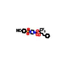 N#Cc1ccc(S(=O)(=O)N2CCN(C(=O)OC(C(=O)CCc3ccccc3)C(F)(F)F)CC2)cc1